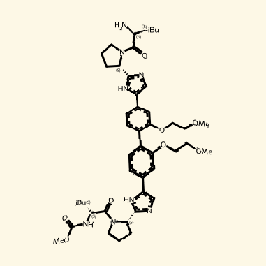 CC[C@H](C)[C@H](N)C(=O)N1CCC[C@H]1c1ncc(-c2ccc(-c3ccc(-c4cnc([C@@H]5CCCN5C(=O)[C@@H](NC(=O)OC)[C@@H](C)CC)[nH]4)cc3OCCOC)c(OCCOC)c2)[nH]1